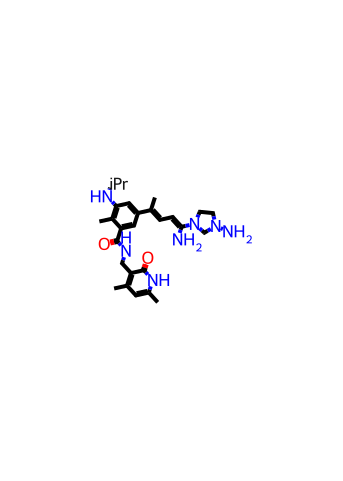 C/C(=C\C=C(/N)N1CCN(N)C1)c1cc(NC(C)C)c(C)c(C(=O)NCc2c(C)cc(C)[nH]c2=O)c1